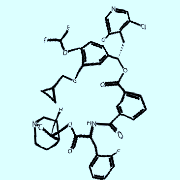 O=C(NC(C(=O)O[C@H]1CN2CCC1CC2)c1ccccc1F)c1cccc(C(=O)O[C@@H](Cc2c(Cl)cncc2Cl)c2ccc(OC(F)F)c(OCC3CC3)c2)c1